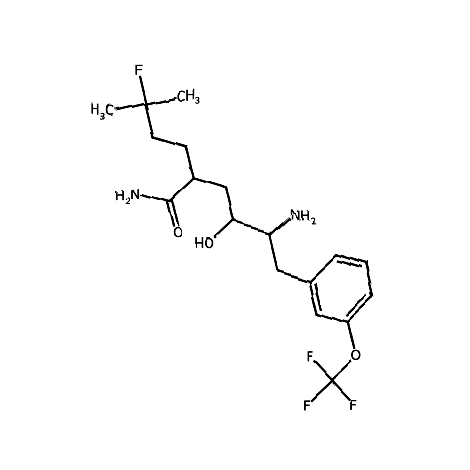 CC(C)(F)CCC(CC(O)C(N)Cc1cccc(OC(F)(F)F)c1)C(N)=O